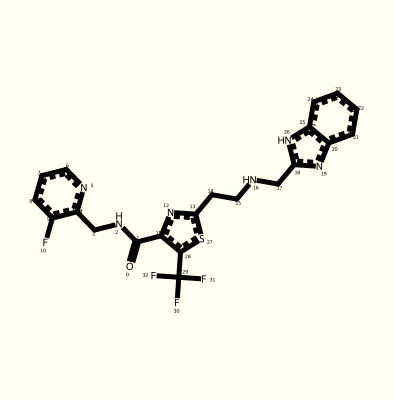 O=C(NCc1ncccc1F)c1nc(CCNCc2nc3ccccc3[nH]2)sc1C(F)(F)F